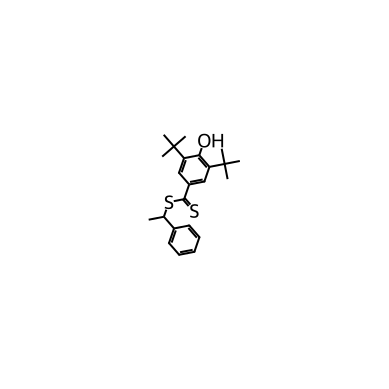 CC(SC(=S)c1cc(C(C)(C)C)c(O)c(C(C)(C)C)c1)c1ccccc1